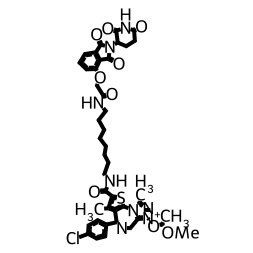 COC(C)O[n+]1nc(C)n2c1CN=C(c1ccc(Cl)cc1)c1c-2sc(C(=O)NCCCCCCCCNC(=O)COc2cccc3c2C(=O)N(C2CCC(=O)NC2=O)C3=O)c1C